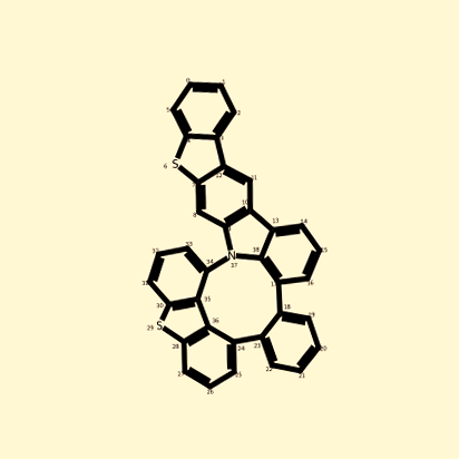 c1ccc2c(c1)sc1cc3c(cc12)c1cccc2c4ccccc4c4cccc5sc6cccc(c6c54)n3c21